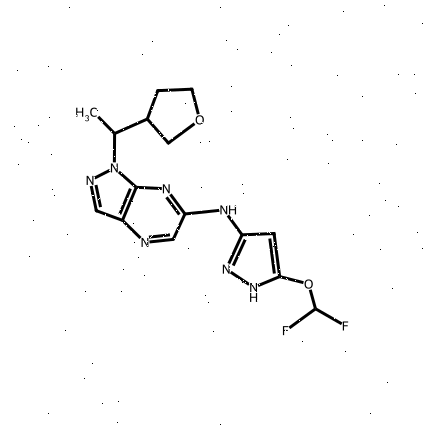 CC(C1CCOC1)n1ncc2ncc(Nc3cc(OC(F)F)[nH]n3)nc21